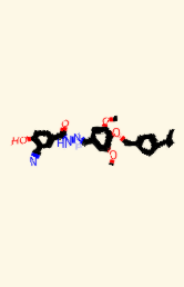 COc1cc(/C=N/NC(=O)c2ccc(O)c(C#N)c2)cc(OC)c1OCc1ccc(C(C)C)cc1